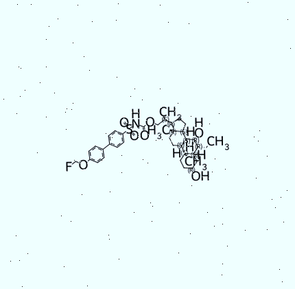 CC[C@H]1[C@@H](O)[C@@H]2[C@H](CC[C@]3(C)[C@@H]([C@H](C)COC(=O)NS(=O)(=O)c4ccc(-c5ccc(OCF)cc5)cc4)CC[C@@H]23)[C@@]2(C)CC[C@@H](O)C[C@@H]12